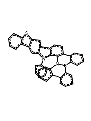 c1ccc(-n2c3cc4c(cc3c3ccc5c(c32)N2B(c3ccccc3-c3ccccc32)c2ccccc2-5)sc2ccccc24)cc1